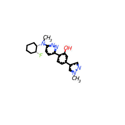 CN(c1ccc(-c2ccc(-c3cnn(C)c3)cc2O)nn1)[C@H]1CCCC[C@H]1F